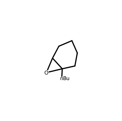 [CH2]CCCC12CCCCC1O2